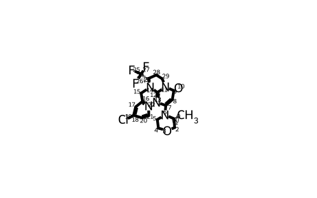 C[C@@H]1COCCN1c1cc(=O)n2c(n1)N(Cc1cc(Cl)ccn1)[C@H](C(F)(F)F)CC2